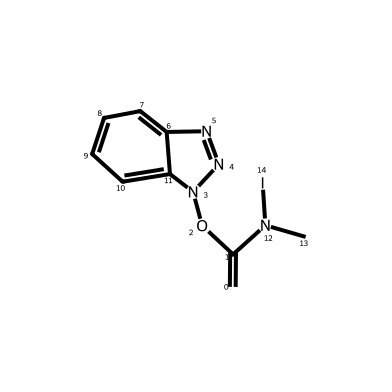 C=C(On1nnc2ccccc21)N(C)I